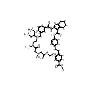 CCOC(=O)CN(C)CC(=O)N(C)CCN(Cc1cccc(C(=O)Nc2sc3c(c2C(=O)Nc2ccc(CCc4ccc(C(=O)OC)cc4)cc2)CCCC3)c1)C(CC)CC